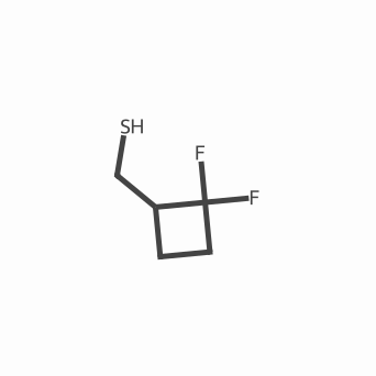 FC1(F)CCC1CS